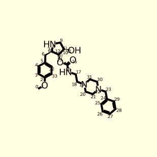 COc1ccc(C[C@H]2NC[C@H](O)[C@H]2OC(=O)NCCN2CCN(Cc3ccccc3)CC2)cc1